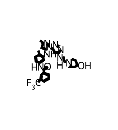 Cc1cc(Nc2cc(NC(=O)c3cccc(C(F)(F)F)c3)ccc2C)n(-c2cc(NCCN3CCC(O)CC3)ncn2)n1